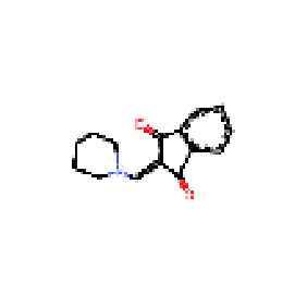 O=C1C(=CN2CCCCC2)C(=O)c2ccccc21